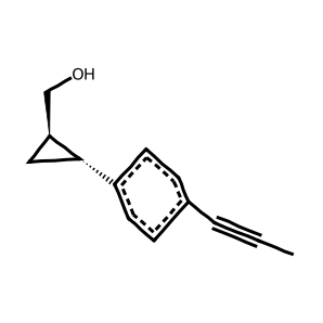 CC#Cc1ccc([C@@H]2C[C@H]2CO)cc1